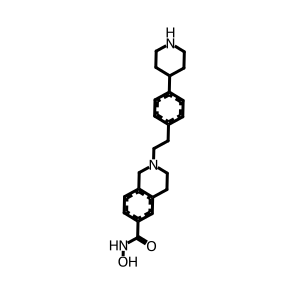 O=C(NO)c1ccc2c(c1)CCN(CCc1ccc(C3CCNCC3)cc1)C2